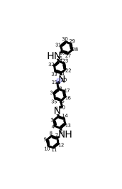 C(=Nc1ccc(Nc2ccccc2)cc1)c1ccc(/C=N/c2ccc(Nc3ccccc3)cc2)cc1